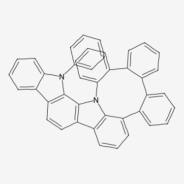 c1ccc(-n2c3ccccc3c3ccc4c5cccc6c7ccccc7c7ccccc7c7ccccc7n(c65)c4c32)cc1